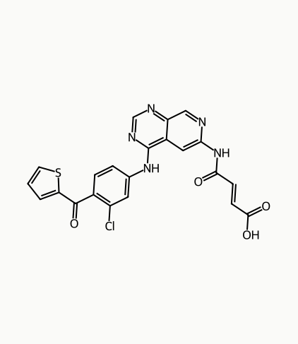 O=C(O)C=CC(=O)Nc1cc2c(Nc3ccc(C(=O)c4cccs4)c(Cl)c3)ncnc2cn1